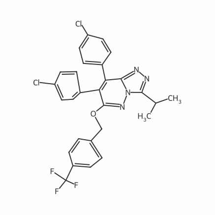 CC(C)c1nnc2c(-c3ccc(Cl)cc3)c(-c3ccc(Cl)cc3)c(OCc3ccc(C(F)(F)F)cc3)nn12